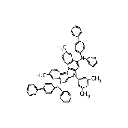 Cc1cc(C)cc(-n2c3cc(N(c4ccccc4)c4ccc(-c5ccccc5)cc4)c4cc(C)ccc4c3c3c4ccc(C)cc4c(N(c4ccccc4)c4ccc(-c5ccccc5)cc4)cc32)c1